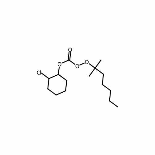 CCCCCC(C)(C)OOC(=O)OC1CCCCC1Cl